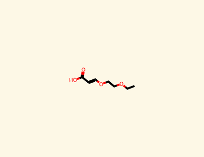 CCOCCOC=CC(=O)O